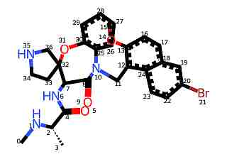 CN[C@@H](C)C(=O)NC1C(=O)N(Cc2c(OC)ccc3cc(Br)ccc23)c2ccccc2OC12CCNC2